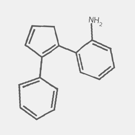 Nc1ccccc1C1=C(c2ccccc2)C=CC1